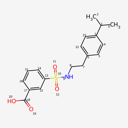 CC(C)c1ccc(CCNS(=O)(=O)c2cccc(C(=O)O)c2)cc1